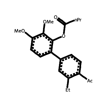 CCCC(=O)Oc1c(-c2ccc(C(C)=O)c(CC)c2)ccc(OC)c1OC